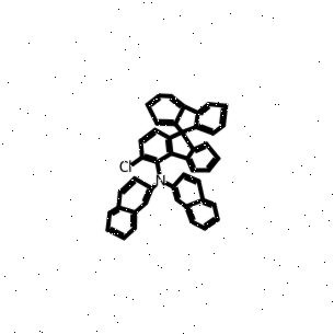 Clc1ccc2c(c1N(c1ccc3ccccc3c1)c1ccc3ccccc3c1)-c1ccccc1C21c2ccccc2-c2ccccc21